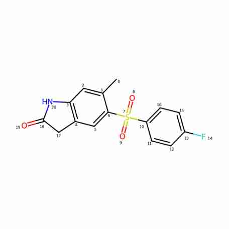 Cc1cc2c(cc1S(=O)(=O)c1ccc(F)cc1)CC(=O)N2